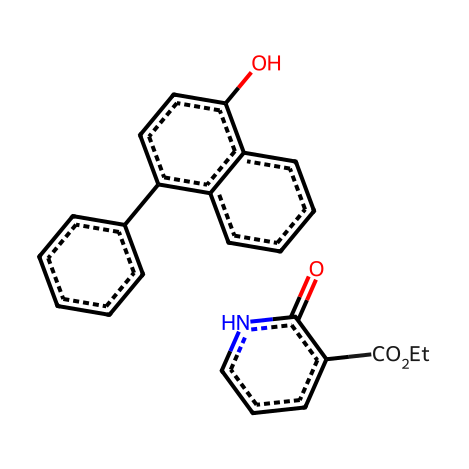 CCOC(=O)c1ccc[nH]c1=O.Oc1ccc(-c2ccccc2)c2ccccc12